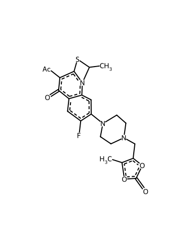 CC(=O)c1c2n(c3cc(N4CCN(Cc5oc(=O)oc5C)CC4)c(F)cc3c1=O)C(C)S2